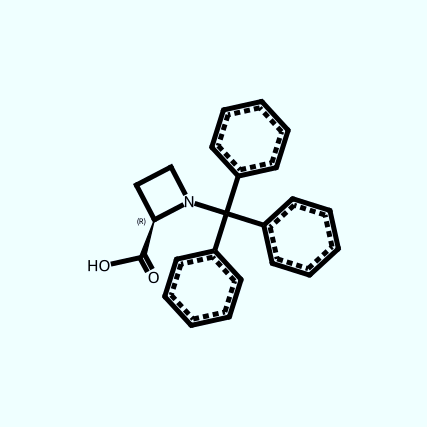 O=C(O)[C@H]1CCN1C(c1ccccc1)(c1ccccc1)c1ccccc1